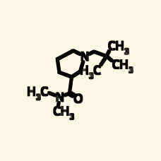 CN(C)C(=O)C1CCCN(CC(C)(C)C)C1